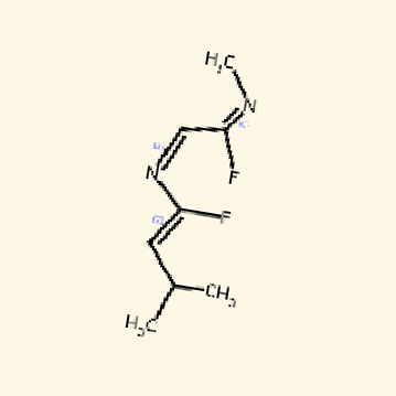 C\N=C(F)/C=N\C(F)=C\C(C)C